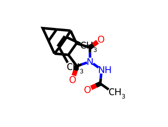 CC(=O)NN1C(=O)C2C3C(C)=C(C)C(C4CC43)C2C1=O